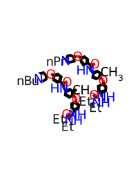 CCCCN1CCC(Oc2ccc(C(=O)Nc3ccc(Oc4ccc(NC(=O)NC(CC)CC)cc4)c(C)c3)cc2)CC1.CCCN1CCC(Oc2ccc(C(=O)Nc3ccc(Oc4ccc(NC(=O)NC(CC)CC)cc4)c(C)c3)cc2)CC1